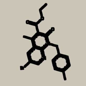 CCOC(=O)c1c(C)c2cc(Br)cnc2n(Cc2ccc(C)cc2)c1=O